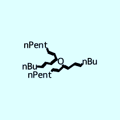 CCCCC=CC=C(C=CCCCCC)OC(C=CCCCCC)=CC=CCCCC